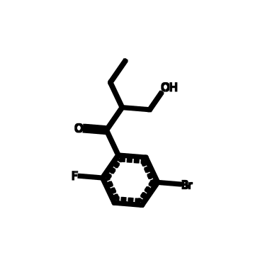 CCC(CO)C(=O)c1cc(Br)ccc1F